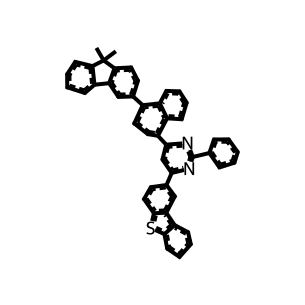 CC1(C)c2ccccc2-c2cc(-c3ccc(-c4cc(-c5ccc6sc7ccccc7c6c5)nc(-c5ccccc5)n4)c4ccccc34)ccc21